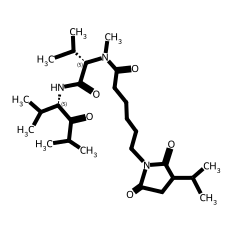 CC(C)C(=O)[C@@H](NC(=O)[C@H](C(C)C)N(C)C(=O)CCCCCN1C(=O)CC(C(C)C)C1=O)C(C)C